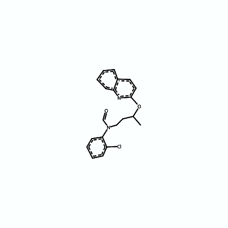 CC(CCN(C=O)c1ccccc1Cl)Oc1ccc2ccccc2n1